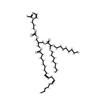 CCCCC/C=C\C/C=C\CCCCCCCC(=O)OCC(COC(=O)OCCCn1ccnc1C)COC(=O)C(OCCCCCCCC)OCCCCCCCC